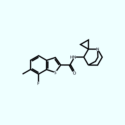 Cc1ccc2cc(C(=O)NC3C4CCN(CC4)C34CC4)sc2c1F